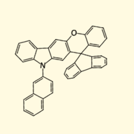 c1ccc2c(c1)Oc1cc3c4ccccc4n(-c4ccc5ccccc5c4)c3cc1C21c2ccccc2-c2ccccc21